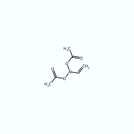 C=[CH][Al]([O]C(C)=O)[O]C(C)=O